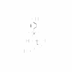 CCOC(=O)C(C)(C)COS(=O)(=O)c1ccc(C)cc1